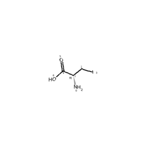 N[C@@H](CI)C(=O)O